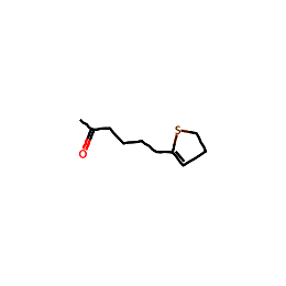 CC(=O)CCCCC1=CCCS1